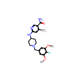 CCOc1cc(CN2CCC(Nc3cc(C(F)(F)F)c(C(N)=O)cn3)CC2)cc(OCC)c1F